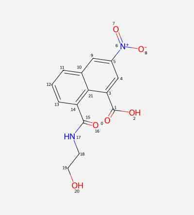 O=C(O)c1cc([N+](=O)[O-])cc2cccc(C(=O)NCCO)c12